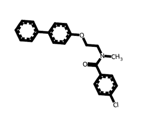 CN(CCOc1ccc(-c2ccccc2)cc1)C(=O)c1ccc(Cl)cc1